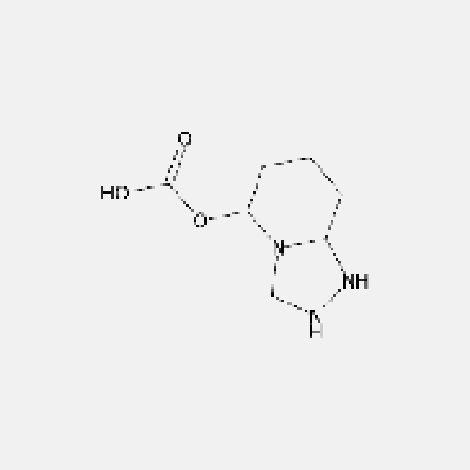 O=C(O)OC1CCCC2NNCN21